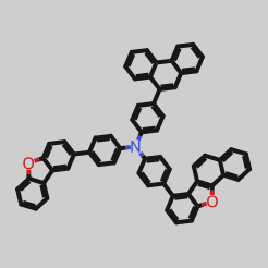 c1ccc2c(c1)cc(-c1ccc(N(c3ccc(-c4ccc5oc6ccccc6c5c4)cc3)c3ccc(-c4cccc5oc6c7ccccc7ccc6c45)cc3)cc1)c1ccccc12